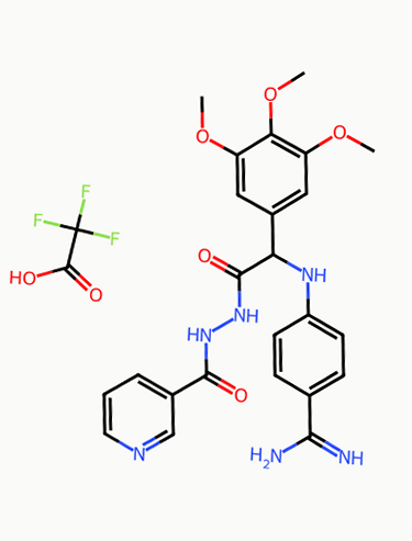 COc1cc(C(Nc2ccc(C(=N)N)cc2)C(=O)NNC(=O)c2cccnc2)cc(OC)c1OC.O=C(O)C(F)(F)F